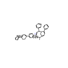 CC1N/C(c2ccc(C3=CC=C(c4ccc[nH]4)CC3)cc2)=C\C(c2ccccc2)C2CC1=CC=C2c1ccccc1